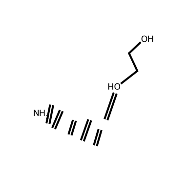 C=C.C=C.C=C.C=C.C=C.C=C.N.OCCO